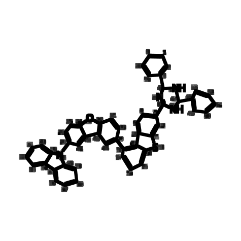 c1ccc(C2N=C(c3ccc4c(c3)sc3cccc(-c5ccc6oc7ccc(-n8c9ccccc9c9ccccc98)cc7c6c5)c34)NC(c3ccccc3)N2)cc1